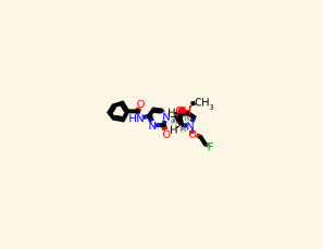 CC[C@@]12CN(OCCF)[C@@H]([C@H](n3ccc(NC(=O)c4ccccc4)nc3=O)O1)[C@@H]2O